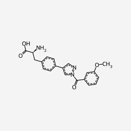 COc1cccc(C(=O)n2cc(-c3ccc(C[C@H](N)C(=O)O)cc3)cn2)c1